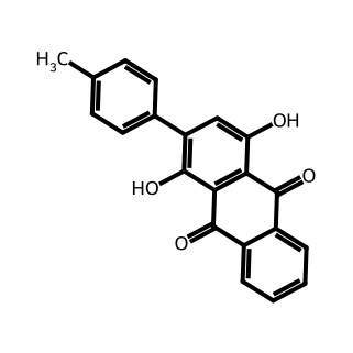 Cc1ccc(-c2cc(O)c3c(c2O)C(=O)c2ccccc2C3=O)cc1